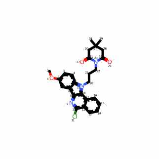 COc1ccc2c(c1)c1nc(Cl)c3ccccc3c1n2CCCN1C(=O)CC(C)(C)CC1=O